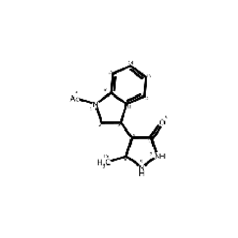 CC(=O)N1CC(C2C(=O)NNC2C)c2ccccc21